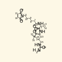 CC(C)C(NC(=O)CCCCCN1C(=O)C=CC1=O)C(=O)NC(CCCNC(N)=O)C(=O)C(C)(C)C